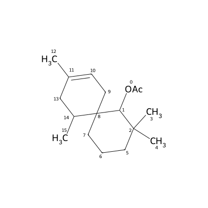 CC(=O)OC1C(C)(C)CCCC12CC=C(C)CC2C